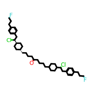 O=C(CCCCC1CCC(C(Cl)Cc2ccc(CCCF)cc2)CC1)CCCC[C@H]1CC[C@H](C(Cl)Cc2ccc(CCCF)cc2)CC1